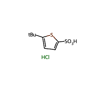 CC(C)(C)c1ccc(S(=O)(=O)O)s1.Cl